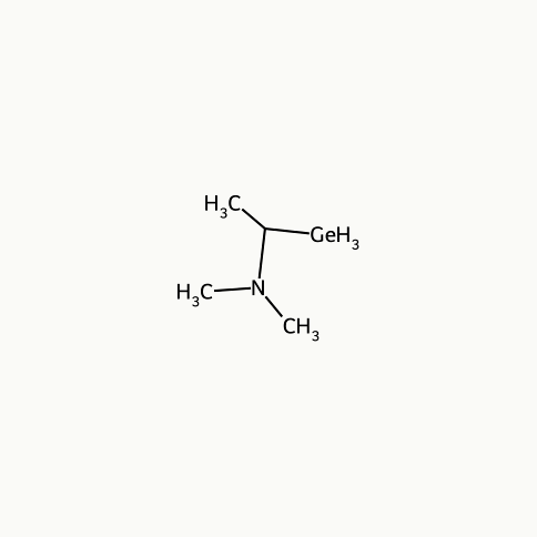 C[CH]([GeH3])N(C)C